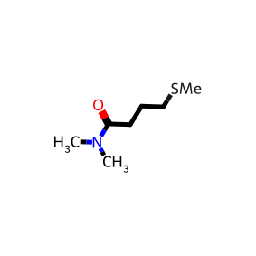 CSCCCC(=O)N(C)C